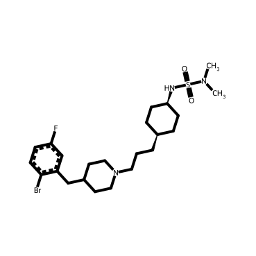 CN(C)S(=O)(=O)N[C@H]1CC[C@@H](CCCN2CCC(Cc3cc(F)ccc3Br)CC2)CC1